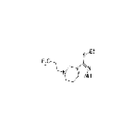 CCSc1n[nH]c2c1CN(CCC(F)(F)F)CC2